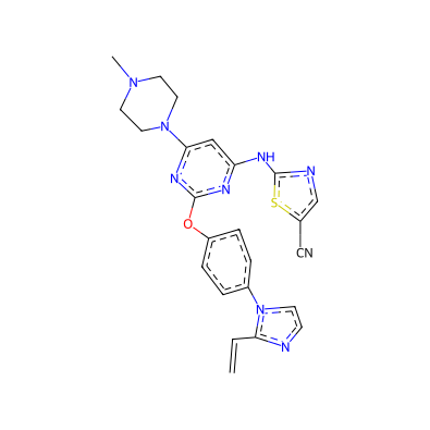 C=Cc1nccn1-c1ccc(Oc2nc(Nc3ncc(C#N)s3)cc(N3CCN(C)CC3)n2)cc1